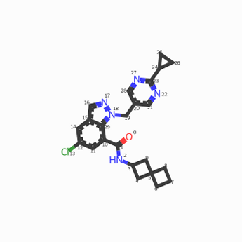 O=C(NC1CC2(CCC2)C1)c1cc(Cl)cc2cnn(Cc3cnc(C4CC4)nc3)c12